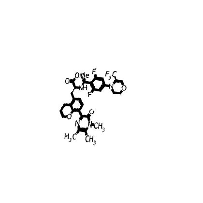 COC(=O)[C@H](Cc1ccc(-c2nc(C)c(C)n(C)c2=O)c2c1CCCO2)NC(=O)c1c(F)cc(N2CCOC[C@@H]2C(F)(F)F)cc1F